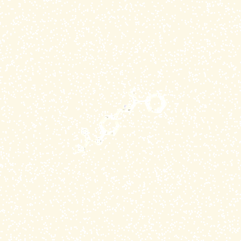 CCC(C)C(=O)Oc1ccc(/C=C/C(=O)c2ccccc2)cc1